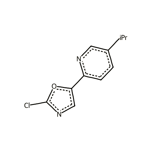 CC(C)c1ccc(-c2cnc(Cl)o2)nc1